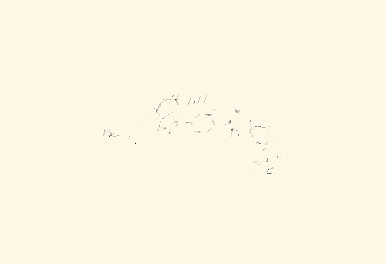 N#CN1CCC(c2nc(-c3ccc(C(=O)Nc4cc(C(F)(F)F)ccn4)cc3)c3c(N)ncnn23)C1